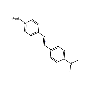 CCCCC[n+]1ccc(/C=C/c2ccc(N(C)C)cc2)cc1